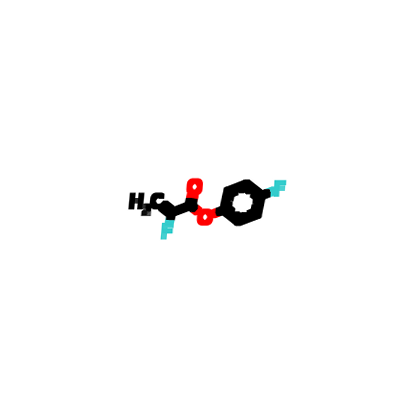 C=C(F)C(=O)Oc1ccc(F)cc1